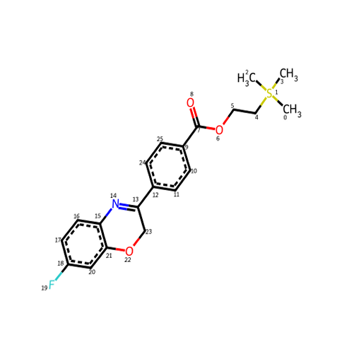 CS(C)(C)CCOC(=O)c1ccc(C2=Nc3ccc(F)cc3OC2)cc1